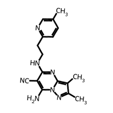 Cc1ccc(CCNc2nc3c(C)c(C)nn3c(N)c2C#N)nc1